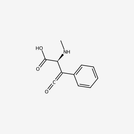 CN[C@H](C(=O)O)C(=C=O)c1ccccc1